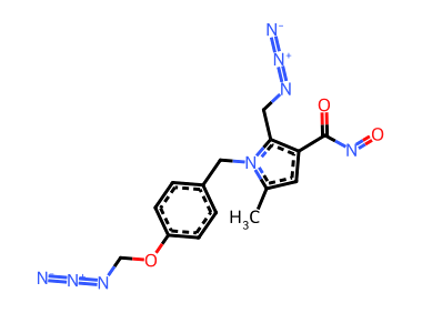 Cc1cc(C(=O)N=O)c(CN=[N+]=[N-])n1Cc1ccc(OCN=[N+]=[N-])cc1